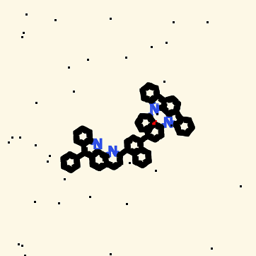 c1ccc(-c2c3ccccc3nc3c2ccc2ccc(-c4ccc(-c5ccc(-n6c7ccccc7c7ccc8c9ccccc9n(-c9ccccc9)c8c76)cc5)c5ccccc45)nc23)cc1